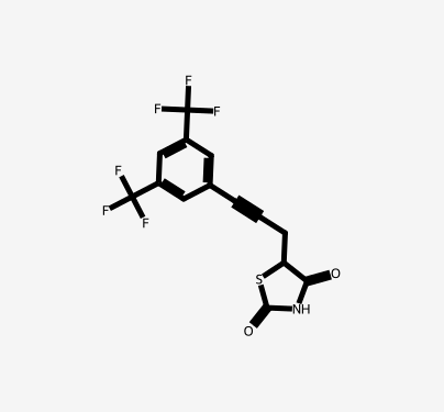 O=C1NC(=O)C(CC#Cc2cc(C(F)(F)F)cc(C(F)(F)F)c2)S1